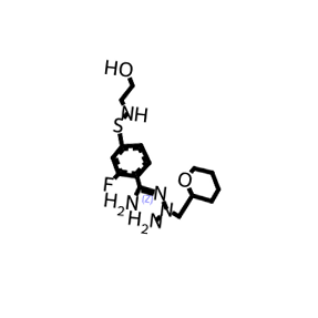 N/C(=N\N(N)CC1CCCCO1)c1ccc(SNCCO)cc1F